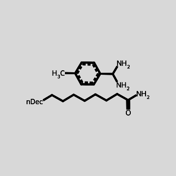 CCCCCCCCCCCCCCCCCC(N)=O.Cc1ccc(C(N)N)cc1